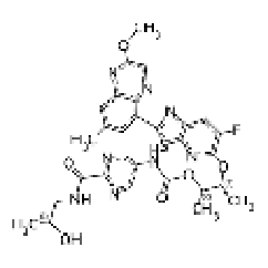 COc1cnc2c(-c3nc4cc(F)c(O[C@@H](C)[C@@H](C)OC(=O)Nc5cnc(C(=O)NC[C@H](C)O)nc5)nc4s3)cc(C)cc2n1